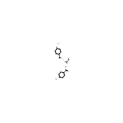 [CH2]C[C](OOC(=O)c1ccc(OC)cc1)OOC(=O)c1ccc(OC)cc1